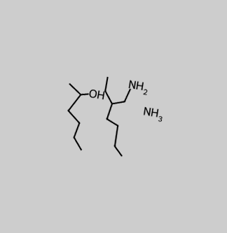 CCCCC(C)O.CCCCC(CC)CN.N